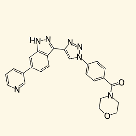 O=C(c1ccc(-n2cc(-c3n[nH]c4cc(-c5cccnc5)ccc34)nn2)cc1)N1CCOCC1